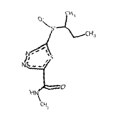 CCC(C)[S+]([O-])c1nnc(C(=O)NC)s1